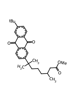 COC(=O)CC(C)CCCC(C)(C)c1ccc2c(c1)C(=O)c1ccc(C(C)(C)C)cc1C2=O